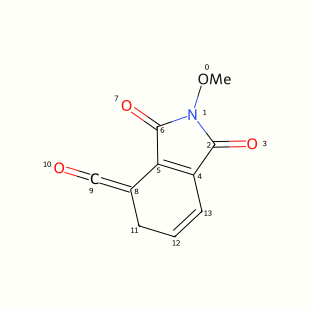 CON1C(=O)C2=C(C1=O)C(=C=O)CC=C2